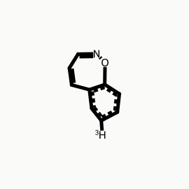 [3H]c1ccc2c(c1)C=CC=NO2